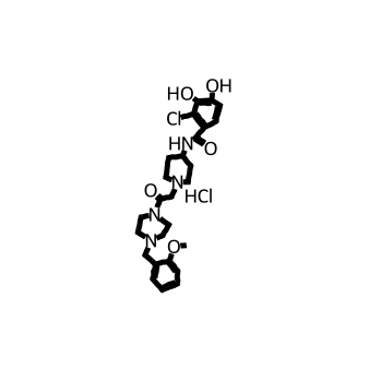 COc1ccccc1CN1CCN(C(=O)CN2CCC(NC(=O)c3ccc(O)c(O)c3Cl)CC2)CC1.Cl